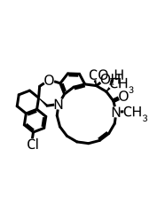 C[C@H]1C(=O)N(C)C/C=C\CCCCCN2C[C@@]3(CCCc4cc(Cl)ccc43)COc3ccc(cc32)[C@@]1(O)C(=O)O